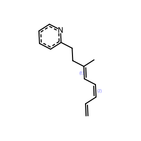 C=C/C=C\C=C(/C)CCc1ccccn1